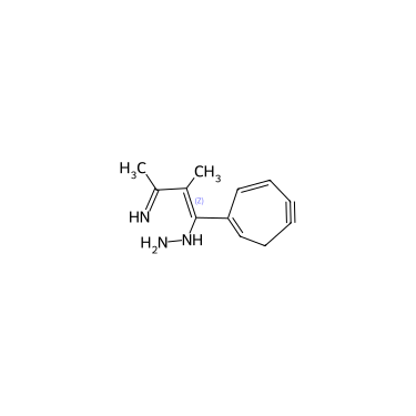 CC(=N)/C(C)=C(\NN)C1=CCC#CC=C1